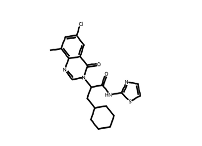 Cc1cc(Cl)cc2c(=O)n(C(CC3CCCCC3)C(=O)Nc3nccs3)cnc12